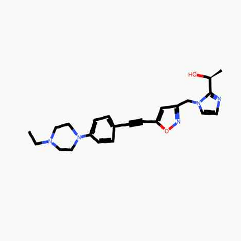 CCN1CCN(c2ccc(C#Cc3cc(Cn4ccnc4[C@H](C)O)no3)cc2)CC1